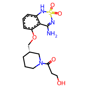 NC1=NS(=O)(=O)Nc2cccc(OC[C@H]3CCCN(C(=O)CCO)C3)c21